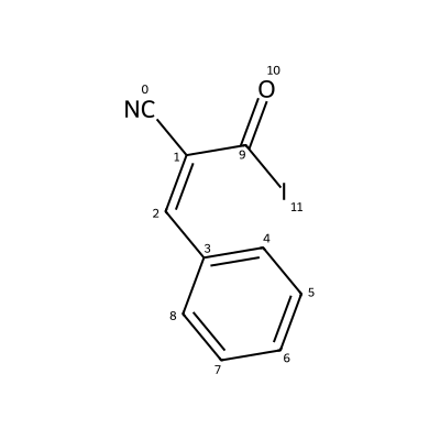 N#CC(=Cc1ccccc1)C(=O)I